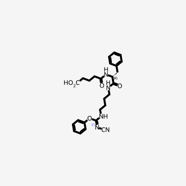 N#C/N=C(\NCCCCNC(=O)[C@@H](Cc1ccccc1)NC(=O)CCCC(=O)O)Oc1ccccc1